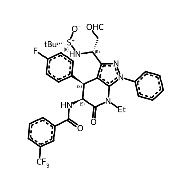 CCN1C(=O)[C@@H](NC(=O)c2cccc(C(F)(F)F)c2)[C@@H](c2ccc(F)cc2)c2c([C@@H](CC=O)N[S@@+]([O-])C(C)(C)C)nn(-c3ccccc3)c21